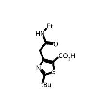 CCNC(=O)Cc1nc(C(C)(C)C)sc1C(=O)O